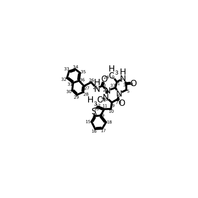 CC1NC(=O)CN2C(=O)C(Cc3csc4ccccc34)N(C)N(C(=O)NCc3cccc4ccccc34)C12